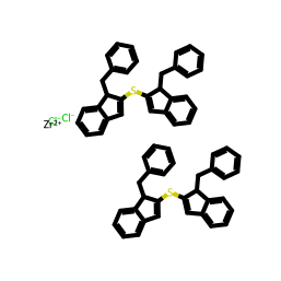 C1=C(SC2=Cc3ccccc3C2Cc2ccccc2)C(Cc2ccccc2)c2ccccc21.C1=C(SC2=Cc3ccccc3C2Cc2ccccc2)C(Cc2ccccc2)c2ccccc21.[Cl-].[Cl-].[Zr+2]